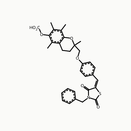 Cc1c(C)c2c(c(C)c1OC(=O)O)CCC(C)(COc1ccc(C=C3SC(=O)N(Cc4ccccc4)C3=O)cc1)O2